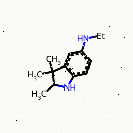 CCNc1ccc2c(c1)C(C)(C)C(C)N2